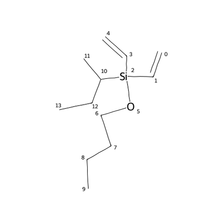 C=C[Si](C=C)(OCCCC)C(C)CC